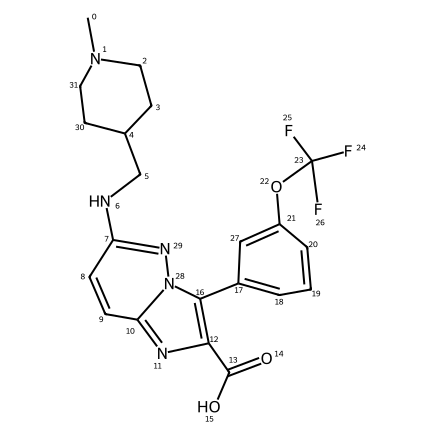 CN1CCC(CNc2ccc3nc(C(=O)O)c(-c4cccc(OC(F)(F)F)c4)n3n2)CC1